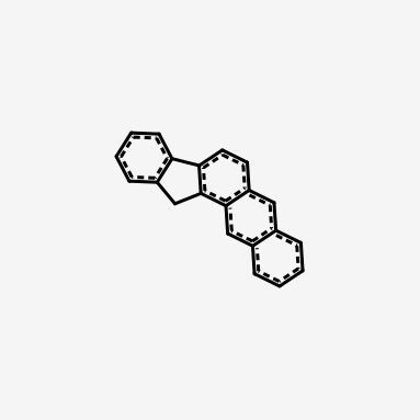 c1ccc2c(c1)Cc1c-2ccc2cc3ccccc3cc12